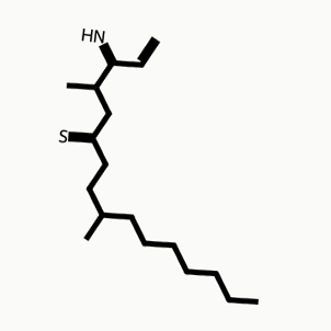 C=CC(=N)C(C)CC(=S)CCC(C)CCCCCCC